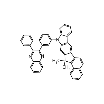 CC1(C)c2cc3c(cc2-c2ccc4ccccc4c21)c1ccccc1n3-c1cccc(-c2nc3ccccc3nc2-c2ccccc2)c1